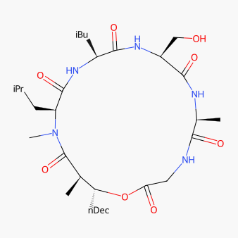 CCCCCCCCCC[C@H]1OC(=O)CNC(=O)[C@H](C)NC(=O)[C@H](CO)NC(=O)[C@H](C(C)CC)NC(=O)[C@H](CC(C)C)N(C)C(=O)[C@@H]1C